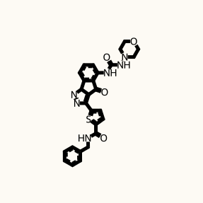 O=C(Nc1cccc2c1C(=O)C1=C(c3ccc(C(=O)NCc4ccccc4)s3)N=NC12)NN1CCOCC1